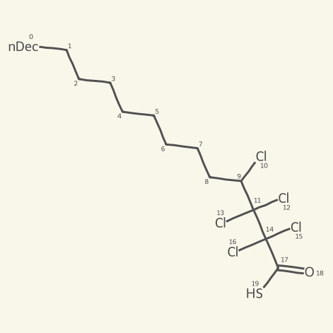 CCCCCCCCCCCCCCCCCCC(Cl)C(Cl)(Cl)C(Cl)(Cl)C(=O)S